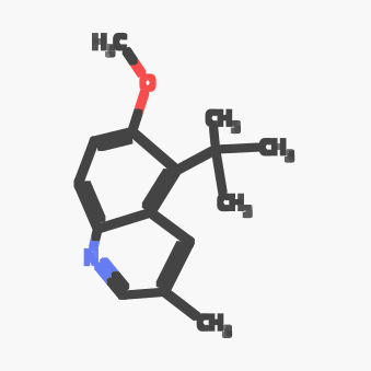 COc1ccc2ncc(C)cc2c1C(C)(C)C